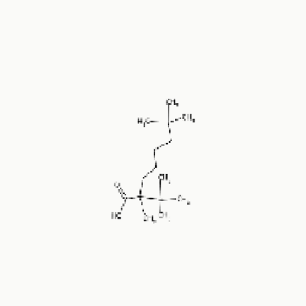 CC(C)(C)CCCCC(C)(C(=O)O)C(C)(C)C